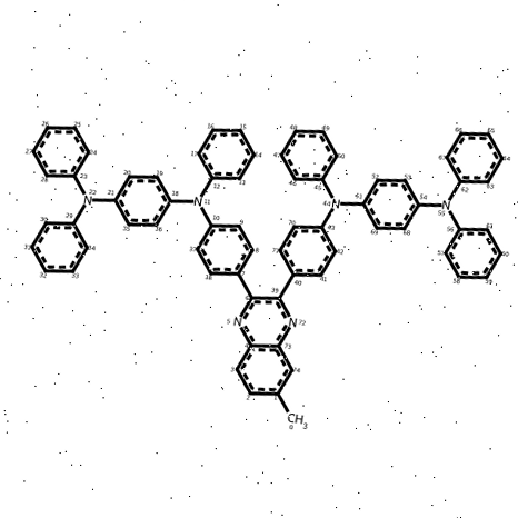 Cc1ccc2nc(-c3ccc(N(c4ccccc4)c4ccc(N(c5ccccc5)c5ccccc5)cc4)cc3)c(-c3ccc(N(c4ccccc4)c4ccc(N(c5ccccc5)c5ccccc5)cc4)cc3)nc2c1